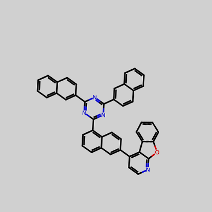 c1ccc2cc(-c3nc(-c4ccc5ccccc5c4)nc(-c4cccc5cc(-c6ccnc7oc8ccccc8c67)ccc45)n3)ccc2c1